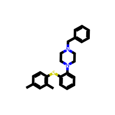 Cc1ccc(Sc2ccccc2N2CCN(Cc3ccccc3)CC2)c(C)c1